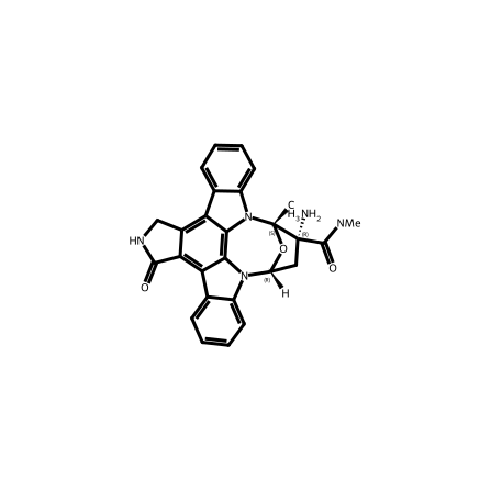 CNC(=O)[C@@]1(N)C[C@H]2O[C@]1(C)n1c3ccccc3c3c4c(c5c6ccccc6n2c5c31)C(=O)NC4